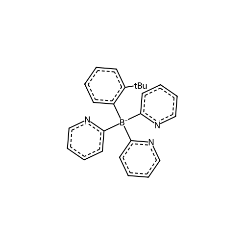 CC(C)(C)c1ccccc1[B-](c1ccccn1)(c1ccccn1)c1ccccn1